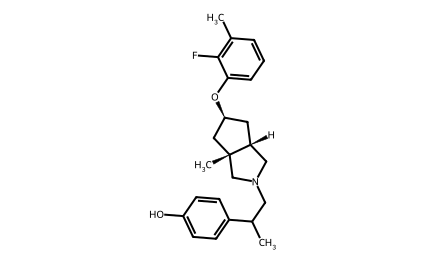 Cc1cccc(O[C@H]2C[C@@H]3CN(CC(C)c4ccc(O)cc4)C[C@]3(C)C2)c1F